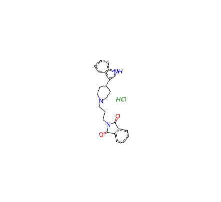 Cl.O=C1c2ccccc2C(=O)N1CCCN1CCC(c2c[nH]c3ccccc23)CC1